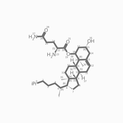 CC(C)CCC[C@@H](C)[C@H]1CC[C@H]2[C@@H]3CC=C4C[C@@H](O)CC(OC(=O)[C@@H](N)CCC(N)=O)[C@]4(C)[C@H]3CC[C@]12C